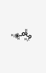 CN1CCCC1Cc1c[nH]c2ccc(CCNS(C)(=O)=O)cc12